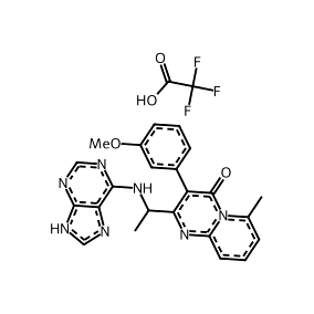 COc1cccc(-c2c(C(C)Nc3ncnc4[nH]cnc34)nc3cccc(C)n3c2=O)c1.O=C(O)C(F)(F)F